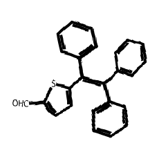 O=Cc1ccc(C(=C(c2ccccc2)c2ccccc2)c2ccccc2)s1